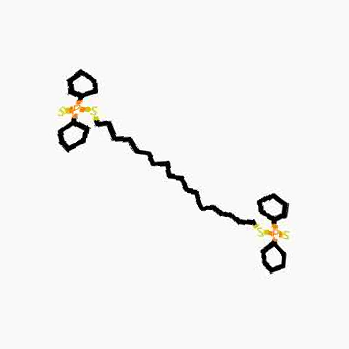 S=P(SCCCCCCCCCCCCCCCCCCSP(=S)(C1CCCCC1)C1CCCCC1)(C1CCCCC1)C1CCCCC1